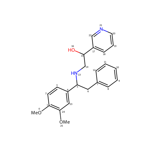 COc1ccc(C(Cc2ccccc2)NCC(O)c2cccnc2)cc1OC